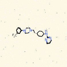 FC(F)(F)c1cccc(N2CCN(CC[C@H]3CC[C@H](Nc4ncccn4)CC3)CC2)c1